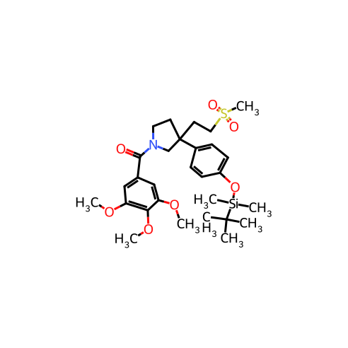 COc1cc(C(=O)N2CCC(CCS(C)(=O)=O)(c3ccc(O[Si](C)(C)C(C)(C)C)cc3)C2)cc(OC)c1OC